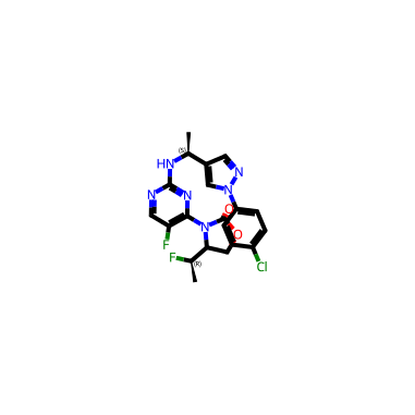 C[C@H](Nc1ncc(F)c(N2C(=O)OCC2[C@@H](C)F)n1)c1cnn(-c2ccc(Cl)cc2)c1